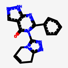 O=c1c2cn[nH]c2nc(-c2ccccc2)n1-c1nnc2n1CC=CC2